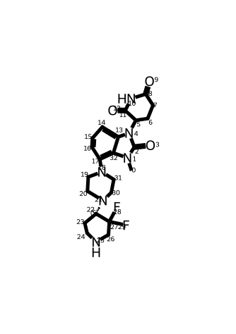 Cn1c(=O)n(C2CCC(=O)NC2=O)c2cccc(N3CCN([C@H]4CCNCC4(F)F)CC3)c21